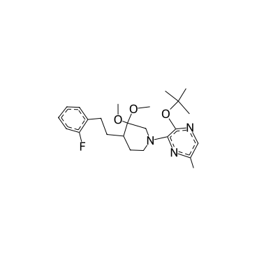 COC1(OC)CN(c2nc(C)cnc2OC(C)(C)C)CCC1CCc1ccccc1F